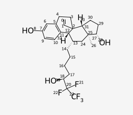 C=CC12CCc3cc(O)ccc3[C@H]1[C@@H](CCCC[C@H](O)C(F)(F)C(F)(F)F)C[C@]1(C)[C@@H](O)CC[C@@H]21